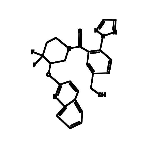 O=C(c1cc(CO)ccc1-n1nccn1)N1CCC(F)(F)C(Oc2ccc3ccccc3n2)C1